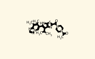 CC(=O)N1CCN(C(=O)c2nc3c(C(C)C)c(-c4cn5ncnc5c(C)c4C)[nH]c3s2)CC1